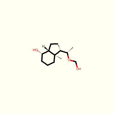 C[C@H](OCO)[C@H]1CC[C@H]2[C@@H](O)CCC[C@]12C